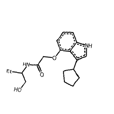 CCC(CO)NC(=O)COc1cccc2[nH]cc(C3CCCC3)c12